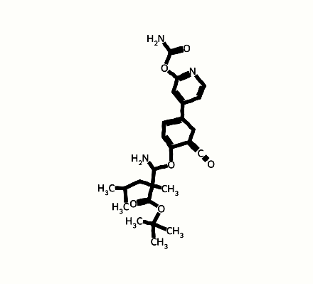 CC(C)CC(C)(C(=O)OC(C)(C)C)C(N)OC1=CC=C(c2ccnc(OC(N)=O)c2)CC1=C=O